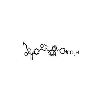 O=C(Nc1ccc(C2CN(c3ncnc4c3cnn4C3CCN(C(=O)O)CC3)CCO2)cc1)OCCF